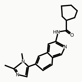 Cc1ncc(-c2ccc3cnc(NC(=O)C4CCCCC4)cc3c2)n1C